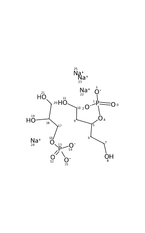 O=P([O-])([O-])OC(CCO)CCO.O=P([O-])([O-])OCC(O)CO.[Na+].[Na+].[Na+].[Na+]